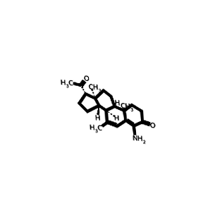 CC(=O)[C@H]1CC[C@H]2[C@@H]3C(C)=CC4=C(N)C(=O)CC[C@]4(C)[C@H]3CC[C@]12C